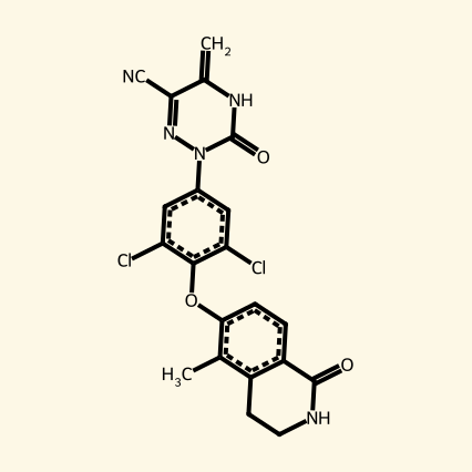 C=C1NC(=O)N(c2cc(Cl)c(Oc3ccc4c(c3C)CCNC4=O)c(Cl)c2)N=C1C#N